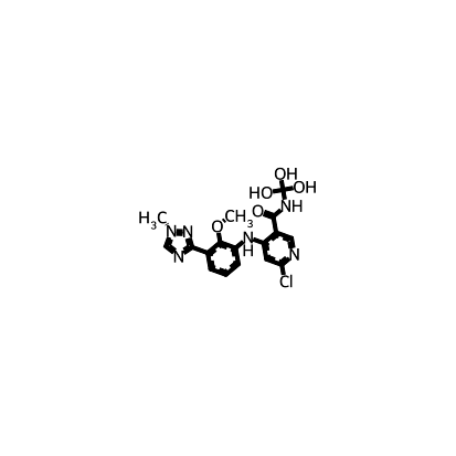 COc1c(Nc2cc(Cl)ncc2C(=O)NC(O)(O)O)cccc1-c1ncn(C)n1